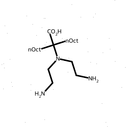 CCCCCCCCC(CCCCCCCC)(C(=O)O)N(CCN)CCN